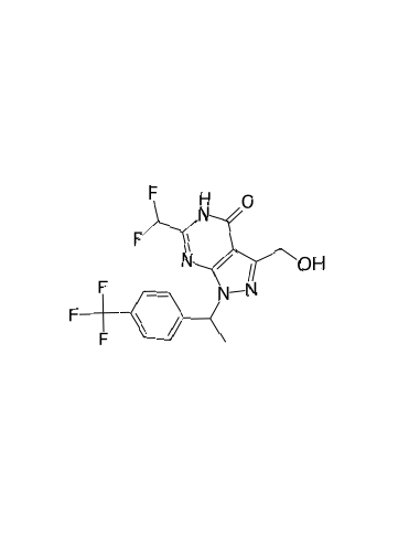 CC(c1ccc(C(F)(F)F)cc1)n1nc(CO)c2c(=O)[nH]c(C(F)F)nc21